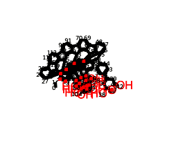 CC[C@]12C3=C4C5=C1[C@@]1(c6ccc(C(CC(=O)O)CC(=O)O)cc6)c6c7ccc8c6[C@]5(c5ccc(C(CC(=O)O)CC(=O)O)cc5)c5c-8ccc6c5[C@]4(c4ccc(C(CC(=O)O)CC(=O)O)cc4)c4c-6ccc5c4[C@]3(c3ccc(C(CC(=O)O)CC(=O)O)cc3)c3c-5ccc4c3[C@]2(c2ccc(C(CC(=O)O)CC(=O)O)cc2)c2c-4ccc-7c21